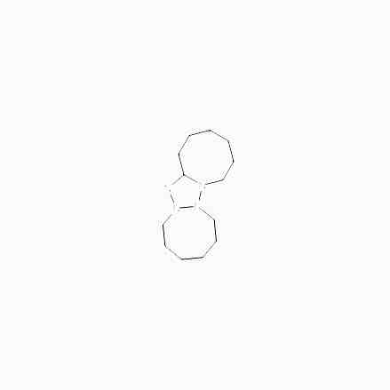 C1CCCN2C(CC1)NN1CCCCCCN12